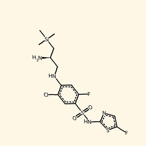 C[Si](C)(C)C[C@H](N)CNc1cc(F)c(S(=O)(=O)Nc2ncc(F)s2)cc1Cl